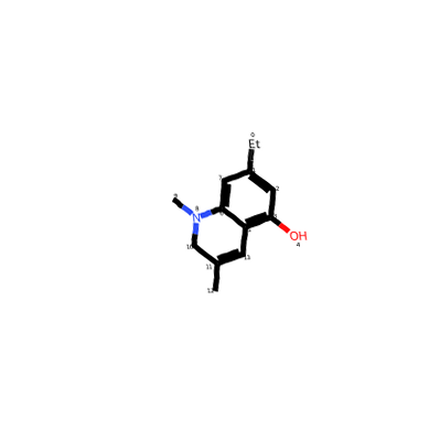 CCc1cc(O)c2c(c1)N(C)CC(C)=C2